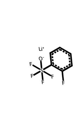 [Li+].[O-]S(F)(F)(F)(F)c1ccccc1F